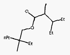 CCCC(C)(CC)COC([O])C(C)C(CC)CC